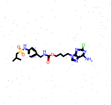 C=C(/C=C\C(=C/C)CNC(=O)OCCCCn1cnc2c(N)nc(Cl)nc21)NS(=O)(=O)CC(C)C